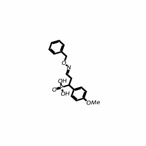 COc1ccc(C(CC=NOCc2ccccc2)P(=O)(O)O)cc1